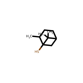 CC1CCC2CC1(S)C2(C)C